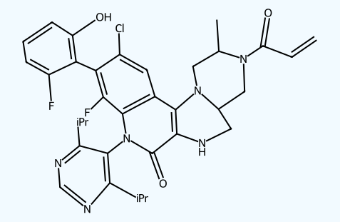 C=CC(=O)N1CC2CNc3c(c4cc(Cl)c(-c5c(O)cccc5F)c(F)c4n(-c4c(C(C)C)ncnc4C(C)C)c3=O)N2CC1C